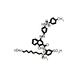 CCCCCCCCCCCCCCCCCCN(C)c1ccc(S(=O)(=O)O)cc1NC(=O)c1cc(/N=N/c2ccc(NS(=O)(=O)c3ccc(C)cc3)cc2)c2ccccc2c1O